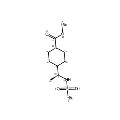 C[C@H](NS(=O)(=O)C(C)(C)C)C1CCN(C(=O)OC(C)(C)C)CC1